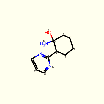 NC1(O)CCCCC1c1ncccn1